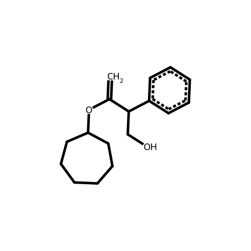 C=C(OC1CCCCCC1)C(CO)c1ccccc1